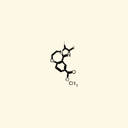 COC(=O)c1ccc2c(c1)C1=NC(I)C(I)N1CCO2